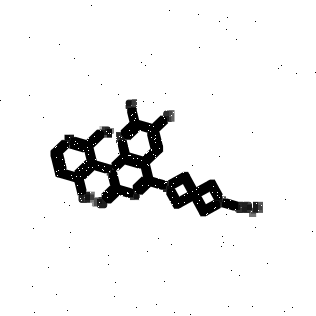 Cc1ccnc(C(C)C)c1-n1c(=O)nc(N2CC3(CN(C(=O)O)C3)C2)c2cc(Cl)c(Cl)nc21